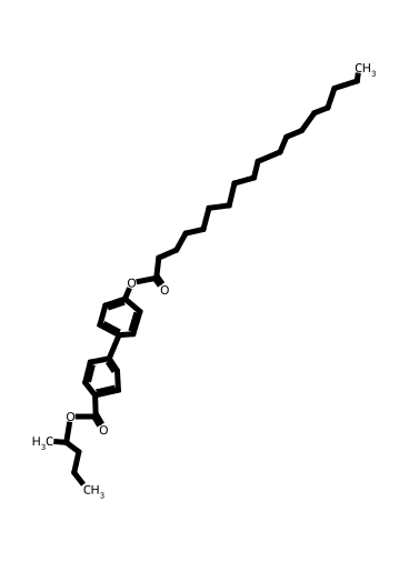 CCCCCCCCCCCCCCCCCC(=O)Oc1ccc(-c2ccc(C(=O)OC(C)CCC)cc2)cc1